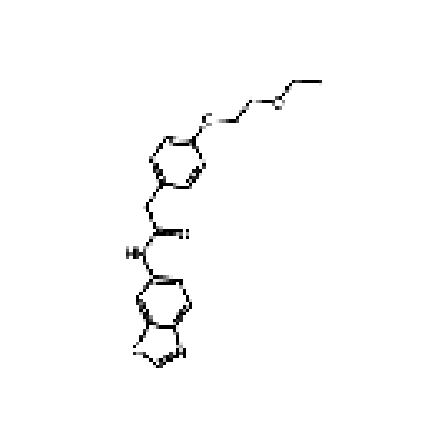 CCOCCOc1ccc(CC(=O)Nc2ccc3ncsc3c2)cc1